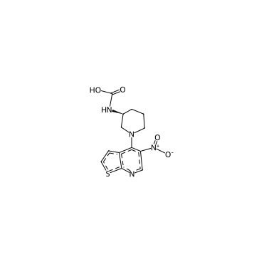 O=C(O)N[C@H]1CCCN(c2c([N+](=O)[O-])cnc3sccc23)C1